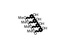 COC(=O)CCc1ccc(O)c(Cc2cc(CCC(=O)OC)cc(Cc3cc(CCC(=O)OC)cc(Cc4cc(CCC(=O)OC)ccc4O)c3O)c2O)c1